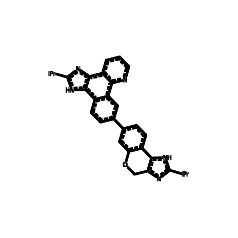 CC(C)c1nc2c([nH]1)-c1ccc(-c3ccc4c(c3)c3ncccc3c3nc(C(C)C)[nH]c43)cc1OC2